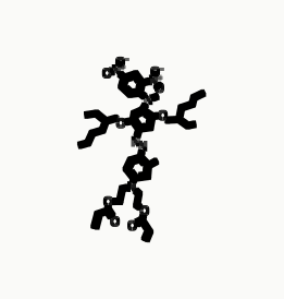 C=CC(=O)OCCN(CCOC(=O)C=C)c1ccc(/N=N/c2cc(OCC(CC)CCCC)c(N(C)c3ccc([N+](=O)[O-])cc3[N+](=O)[O-])cc2OCC(CC)CCCC)c(C)c1